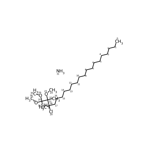 CCCCCCCCCCCCCCCCCCC(C)(Cl)C(C)(OC)C([SiH3])(OC)OC.N